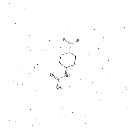 NC(=O)N[C@H]1CC[C@H](C(F)F)CC1